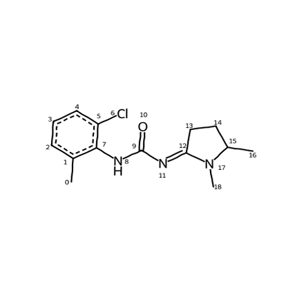 Cc1cccc(Cl)c1NC(=O)N=C1CCC(C)N1C